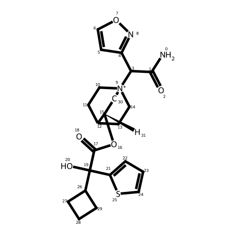 NC(=O)C(c1ccon1)[N+]12CCC(CC1)[C@@H](OC(=O)C(O)(c1cccs1)C1CCC1)C2